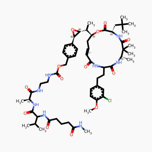 CNC(=O)CCCC(=O)NC(C(=O)N[C@@H](C)C(=O)NCCNC(=O)OCc1ccc([C@H]2O[C@@H]2C(C)[C@@H]2C/C=C/C(=O)NC(CCc3ccc(OC)c(Cl)c3)C(=O)N[C@@H](C)C(C)(C)C(=O)N[C@@H](CC(C)(C)C)C(=O)O2)cc1)C(C)C